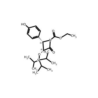 CCOC(=O)N1C(=O)[C@H](O[Si](C(C)C)(C(C)C)C(C)C)[C@@H]1c1ccc(O)cc1